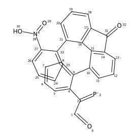 O=CC(=[P-])c1ccccc1-c1cccc2c1-c1c(cccc1-c1ccccc1[N+](=O)O)C2=O